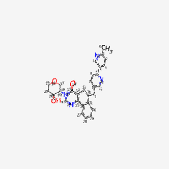 Cc1ccc(-c2ccc(Cc3cc4c(=O)n([C@@H]5COCC[C@@H]5O)cnc4c4ccccc34)cn2)cn1